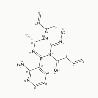 C=CCC(O)N(/C=N/CC)/C(=N\[C@H](C)NN(C)N=C)c1cccnc1N